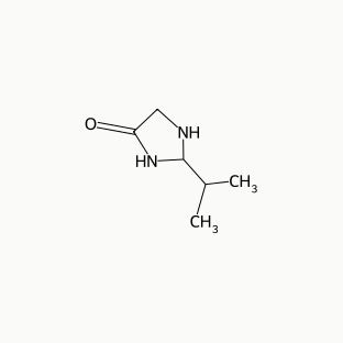 CC(C)C1NCC(=O)N1